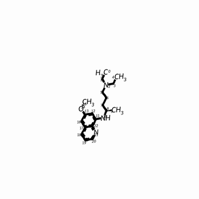 CCN(CC)CCC[C@@H](C)Nc1cc(OC)cc2cccnc12